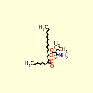 CCCCCCCCCCC[C@@H](C[C@@H]1OC(=O)[C@H]1CCCCCC)OC(=O)[C@H](C(N)=O)C(C)C